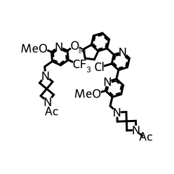 COc1nc(-c2ccnc(-c3cccc4c3CC[C@H]4Oc3nc(OC)c(CN4CC5(C4)CN(C(C)=O)C5)cc3C(F)(F)F)c2Cl)ccc1CN1CC2(C1)CN(C(C)=O)C2